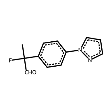 CC(F)(C=O)c1ccc(-n2cccn2)cc1